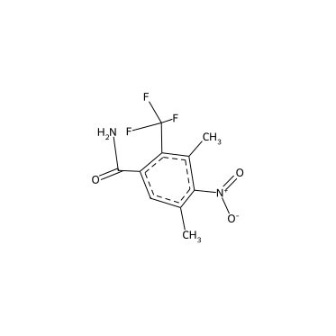 Cc1cc(C(N)=O)c(C(F)(F)F)c(C)c1[N+](=O)[O-]